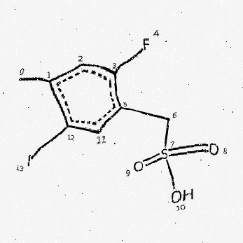 Cc1cc(F)c(CS(=O)(=O)O)cc1I